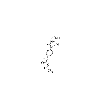 CC(C)(C(=O)OC(=O)C(F)(F)F)c1ccc(N2C[C@@H]3CNCCN3C2=O)cc1